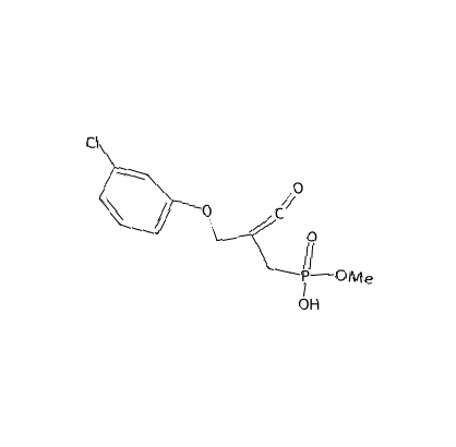 COP(=O)(O)CC(=C=O)COc1cccc(Cl)c1